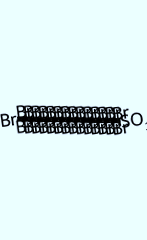 O=S(=O)(O)C(Br)(Br)C(Br)(Br)C(Br)(Br)C(Br)(Br)C(Br)(Br)C(Br)(Br)C(Br)(Br)C(Br)(Br)C(Br)(Br)C(Br)(Br)C(Br)(Br)C(Br)(Br)C(Br)(Br)C(Br)(Br)Br